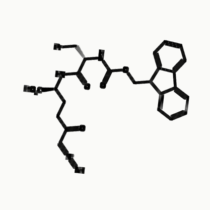 CCOC(=O)[C@H](CCC(=O)C=[N+]=N)NC(=O)[C@H](CC(C)C)NC(=O)OCC1c2ccccc2-c2ccccc21